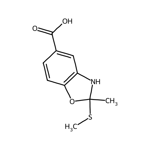 CSC1(C)Nc2cc(C(=O)O)ccc2O1